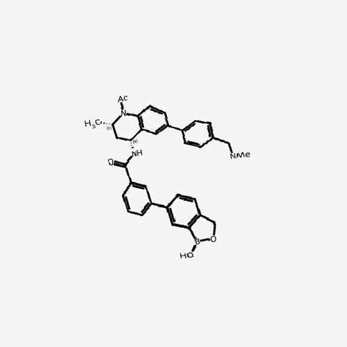 CNCc1ccc(-c2ccc3c(c2)[C@H](NC(=O)c2cccc(-c4ccc5c(c4)B(O)OC5)c2)C[C@H](C)N3C(C)=O)cc1